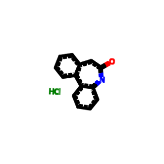 Cl.O=c1cc2ccccc2c2ccccc2n1